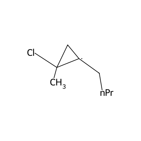 CCCC[C]1CC1(C)Cl